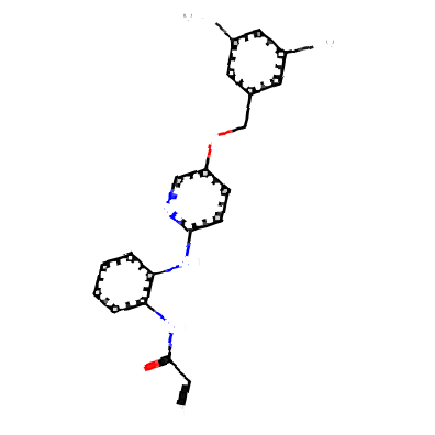 C=CC(=O)Nc1ccccc1Nc1ccc(OCc2cc(OC)cc(OC)c2)cn1